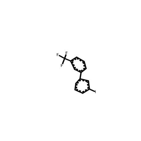 FC(F)(F)c1cccc(-c2cccc(I)c2)c1